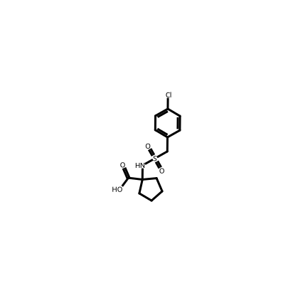 O=C(O)C1(NS(=O)(=O)Cc2ccc(Cl)cc2)CCCC1